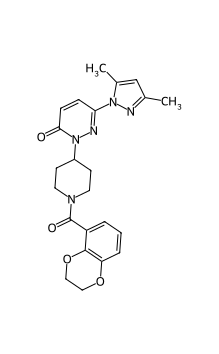 Cc1cc(C)n(-c2ccc(=O)n(C3CCN(C(=O)c4cccc5c4OCCO5)CC3)n2)n1